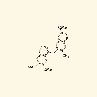 COc1ccc2cc(C)c(Cc3cccc4cc(OC)c(OC)cc34)cc2c1